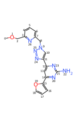 COCc1cccc(Cn2cc(-c3cc(-c4ccco4)nc(N)n3)nn2)n1